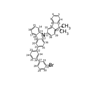 CC1(C)c2ccccc2-c2cc(-n3c4ccccc4c4cc(-c5cccc(-c6cccc(Br)c6)c5)ccc43)ccc21